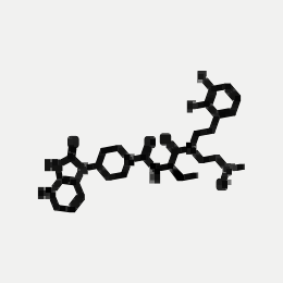 CC[C@@H](NC(=O)N1CCC(n2c3c([nH]c2=O)NCC=C3)CC1)C(=O)N(CCc1cccc(F)c1F)CC[S+](C)[O-]